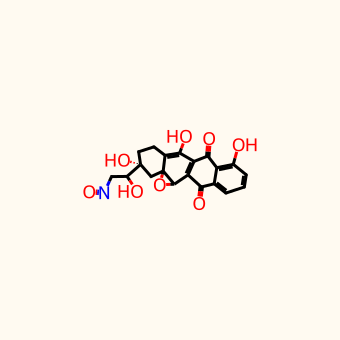 O=NCC(O)[C@@]1(O)CCC2=C(O)C3=C(C(=O)c4cccc(O)c4C3=O)C3OC23C1